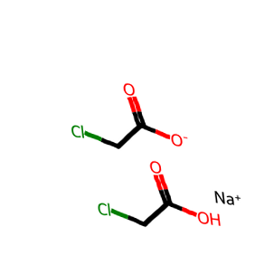 O=C(O)CCl.O=C([O-])CCl.[Na+]